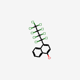 [O]c1ccc(C(Cl)(Cl)C(Cl)(Cl)C(Cl)(Cl)C(Cl)(Cl)Cl)c2ccccc12